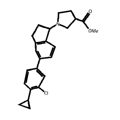 COC(=O)C1CCN(C2CCc3cc(-c4ccc(C5CC5)c(Cl)c4)ccc32)C1